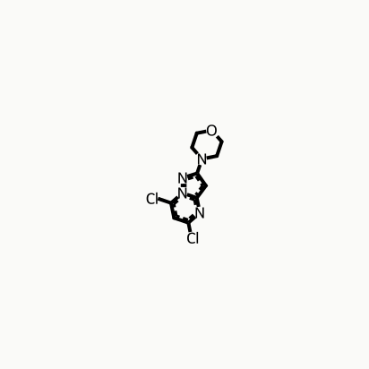 Clc1cc(Cl)n2nc(N3CCOCC3)cc2n1